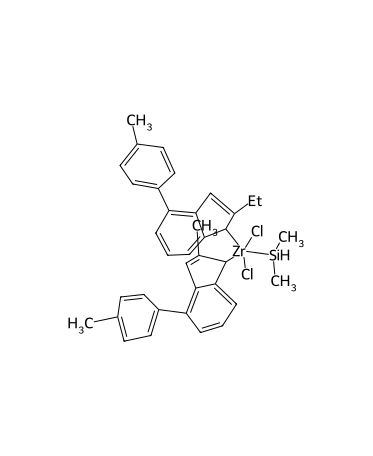 CCC1=Cc2c(-c3ccc(C)cc3)cccc2[CH]1[Zr]([Cl])([Cl])([CH]1C(C)=Cc2c(-c3ccc(C)cc3)cccc21)[SiH](C)C